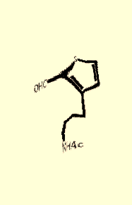 CC(=O)NCCc1ccsc1C=O